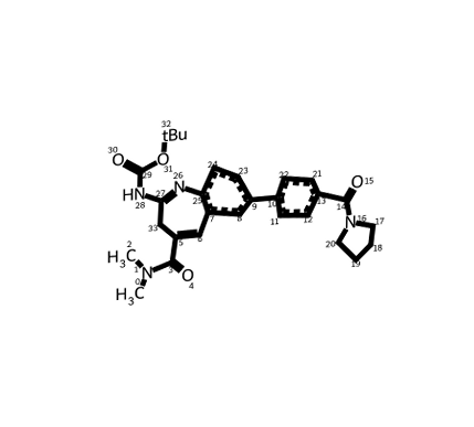 CN(C)C(=O)C1=Cc2cc(-c3ccc(C(=O)N4CCCC4)cc3)ccc2N=C(NC(=O)OC(C)(C)C)C1